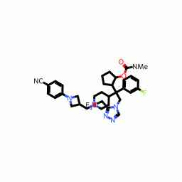 CNC(=O)OC1CCCC1C(Cn1cnnc1CC(F)(F)F)(c1cccc(F)c1)C1CCN(CC2CN(c3ccc(C#N)cc3)C2)CC1